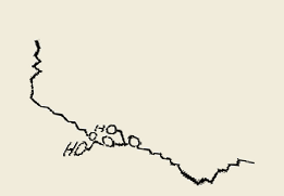 CCCCCCCC/C=C\CCCCCCCCOC(CO)COCC(CO)OCCCCCCCC/C=C\CCCCCCCC